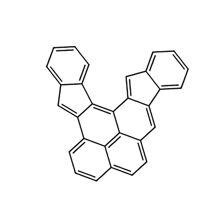 c1ccc2c(c1)cc1c2cc2ccc3cccc4c5cc6ccccc6c5c1c2c34